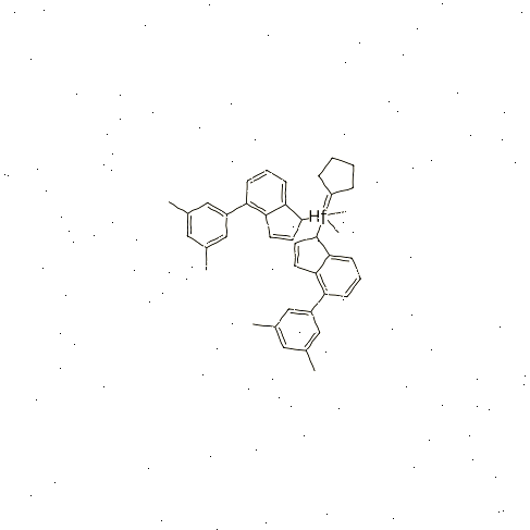 Cc1cc(C)cc(-c2cccc3c2C=C[CH]3[Hf]([CH3])([CH3])(=[C]2CCCC2)[CH]2C=Cc3c(-c4cc(C)cc(C)c4)cccc32)c1